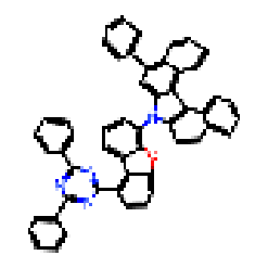 c1ccc(-c2nc(-c3ccccc3)nc(-c3cccc4oc5c(-n6c7ccc8ccccc8c7c7c8ccccc8c(-c8ccccc8)cc76)cccc5c34)n2)cc1